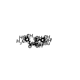 Cc1cc(CCC(=O)OCC(CO)(CO)CC(CCc2cc(C)c(O)c(C(C)(C)C)c2)OO)cc(C)c1O